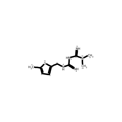 Cc1ccc(CNC(=N)NC(=N)N(C)C)s1